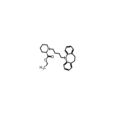 CCOC(=O)[C@H]1CCCCN1CCCCN1c2ccccc2CCc2ccccc21